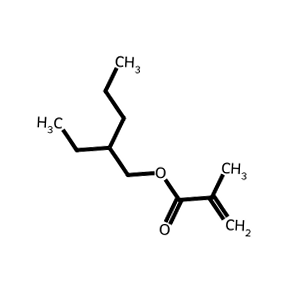 C=C(C)C(=O)OCC(CC)CCC